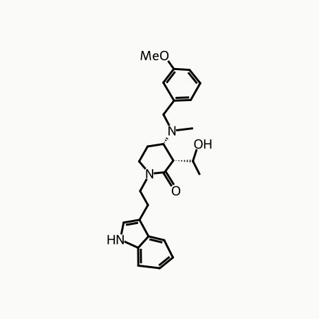 COc1cccc(CN(C)[C@H]2CCN(CCc3c[nH]c4ccccc34)C(=O)[C@H]2C(C)O)c1